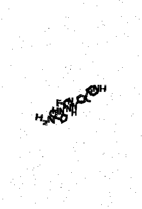 Cc1cc(Nc2ncc(F)c(NC3CCCC3C(N)=O)n2)ccc1N1CCNCC1